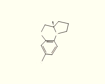 O=[N+]([O-])c1ccc2c(c1)OC[C@@H]1CCCN21